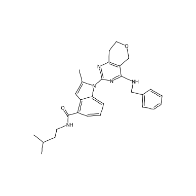 Cc1cc2c(C(=O)NCCC(C)C)cccc2n1-c1nc2c(c(NCc3ccccc3)n1)COCC2